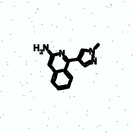 Cn1cc(-c2nc(N)cc3ccccc23)cn1